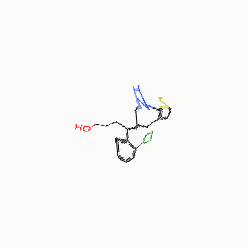 OCCCC(c1ccccc1Cl)C1CNc2sccc2C1